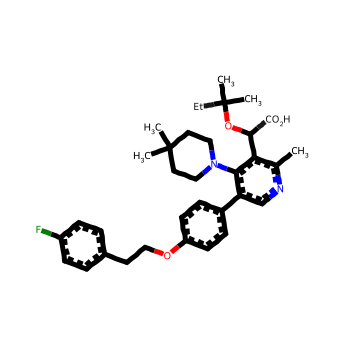 CCC(C)(C)OC(C(=O)O)c1c(C)ncc(-c2ccc(OCCc3ccc(F)cc3)cc2)c1N1CCC(C)(C)CC1